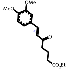 CCOC(=O)CCCC(=O)/C=C/c1ccc(OC)c(OC)c1